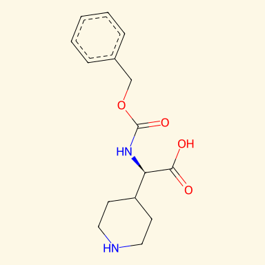 O=C(N[C@@H](C(=O)O)C1CCNCC1)OCc1ccccc1